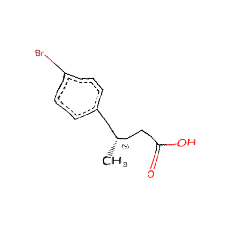 C[C@@H](CC(=O)O)c1ccc(Br)cc1